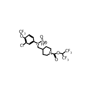 O=C(OC(C(F)(F)F)C(F)(F)F)N1CCC(CN(c2ccc(OC(F)(F)F)c(Cl)c2)[SH](=O)=O)CC1